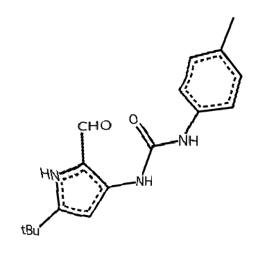 Cc1ccc(NC(=O)Nc2cc(C(C)(C)C)[nH]c2C=O)cc1